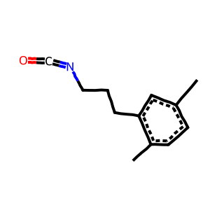 Cc1ccc(C)c(CCCN=C=O)c1